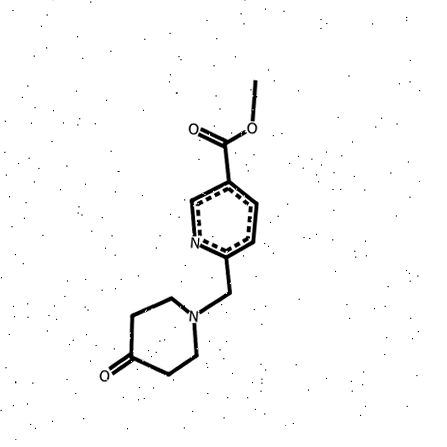 COC(=O)c1ccc(CN2CCC(=O)CC2)nc1